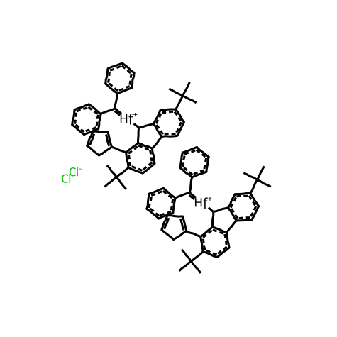 CC(C)(C)c1ccc2c(c1)[CH]([Hf+]=[C](c1ccccc1)c1ccccc1)c1c-2ccc(C(C)(C)C)c1C1=CC=CC1.CC(C)(C)c1ccc2c(c1)[CH]([Hf+]=[C](c1ccccc1)c1ccccc1)c1c-2ccc(C(C)(C)C)c1C1=CC=CC1.[Cl-].[Cl-]